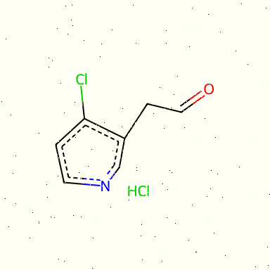 Cl.O=CCc1cnccc1Cl